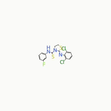 Fc1cccc(NC(=S)N2CCSC2=Nc2c(Cl)cccc2Cl)c1